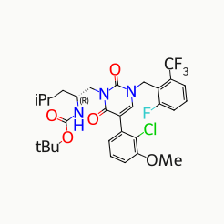 COc1cccc(-c2cn(Cc3c(F)cccc3C(F)(F)F)c(=O)n(C[C@@H](CC(C)C)NC(=O)OC(C)(C)C)c2=O)c1Cl